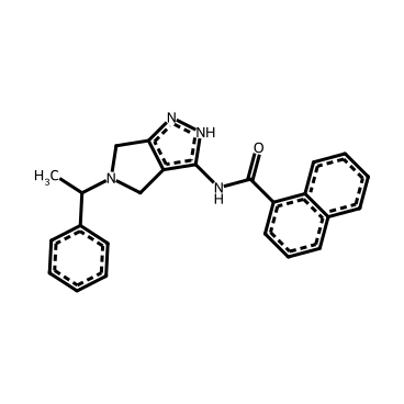 CC(c1ccccc1)N1Cc2n[nH]c(NC(=O)c3cccc4ccccc34)c2C1